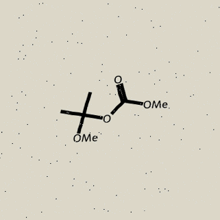 COC(=O)OC(C)(C)OC